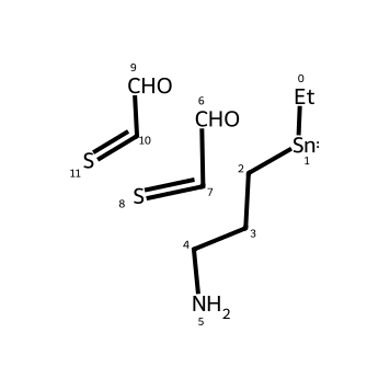 C[CH2][Sn][CH2]CCN.O=CC=S.O=CC=S